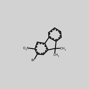 CC1(C)c2ccccc2-c2cc([N+](=O)[O-])c(Br)cc21